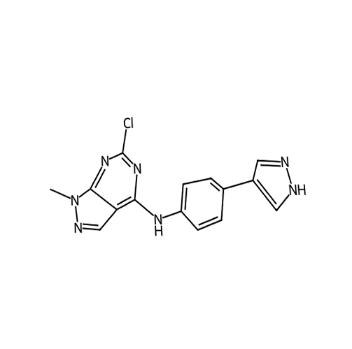 Cn1ncc2c(Nc3ccc(-c4cn[nH]c4)cc3)nc(Cl)nc21